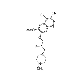 COc1cc2c(Cl)c(C#N)cnc2cc1OC[C@@H](F)CN1CCN(C)CC1